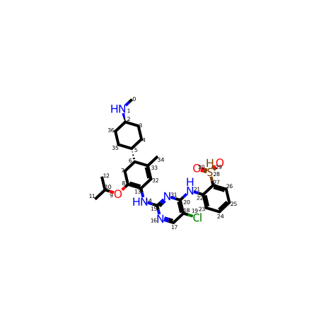 CN[C@H]1CC[C@H](C2CC(OC(C)C)=C(Nc3ncc(Cl)c(Nc4ccccc4[SH](=O)=O)n3)C=C2C)CC1